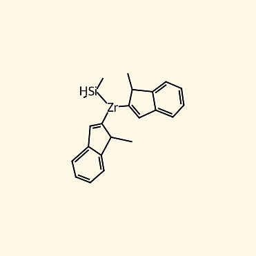 CC1[C]([Zr]([C]2=Cc3ccccc3C2C)[SiH](C)C)=Cc2ccccc21